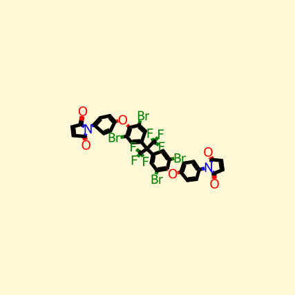 O=C1C=CC(=O)N1c1ccc(Oc2c(Br)cc(C(c3cc(Br)c(Oc4ccc(N5C(=O)C=CC5=O)cc4)c(Br)c3)(C(F)(F)F)C(F)(F)F)cc2Br)cc1